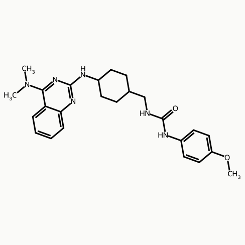 COc1ccc(NC(=O)NCC2CCC(Nc3nc(N(C)C)c4ccccc4n3)CC2)cc1